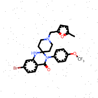 Cc1ccc(CN2CCC3(CC2)Nc2cc(Br)ccc2C(=O)N3c2ccc(OC(F)(F)F)cc2)o1